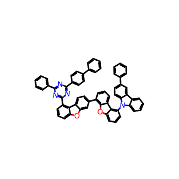 c1ccc(-c2ccc(-c3nc(-c4ccccc4)nc(-c4cccc5oc6cc(-c7cccc8c7oc7cccc(-n9c%10ccccc%10c%10cc(-c%11ccccc%11)ccc%109)c78)ccc6c45)n3)cc2)cc1